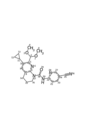 COC(OC)c1nc2c(cc1C1CC1)CCCN2C(=O)Nc1ccc(C#N)cn1